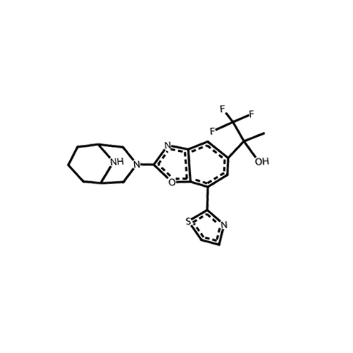 CC(O)(c1cc(-c2nccs2)c2oc(N3CC4CCCC(C3)N4)nc2c1)C(F)(F)F